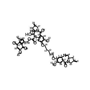 C=C1CC2C=Nc3cc(OCCCCCOc4cc5c(cc4OC)C(=O)N4CC(=C)C[C@H]4C(O)N5C(=O)OCc4cn(C)c5c4C(=O)C(OC)=CC5=O)c(OC)cc3C(=O)N2C1